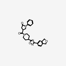 O=C(C1CC(=O)N(c2ccccc2)C1)N1CCC(c2nc(-c3ccc4c(c3)COC4)no2)CC1